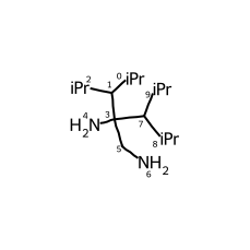 CC(C)C(C(C)C)C(N)(CN)C(C(C)C)C(C)C